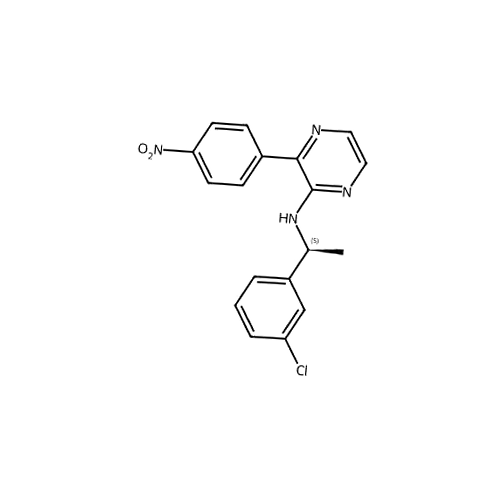 C[C@H](Nc1nccnc1-c1ccc([N+](=O)[O-])cc1)c1cccc(Cl)c1